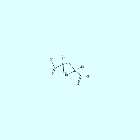 CC[N+](CC)(C[N+](CC)(CC)C(=S)[S-])C(=S)[S-]